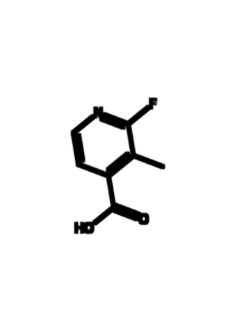 Cc1c(C(=O)O)ccnc1F